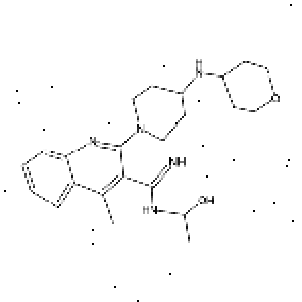 Cc1c(C(=N)NC(C)O)c(N2CCC(NC3CCOCC3)CC2)nc2ccccc12